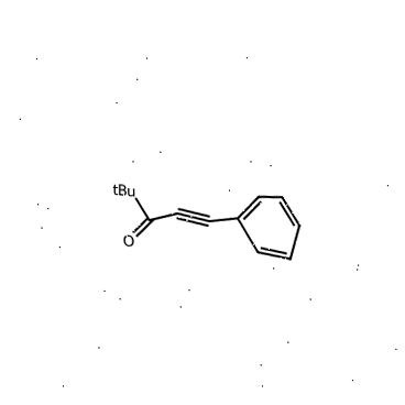 CC(C)(C)C(=O)C#Cc1ccccc1